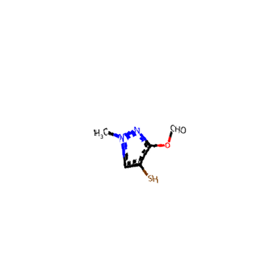 Cn1cc(S)c(OC=O)n1